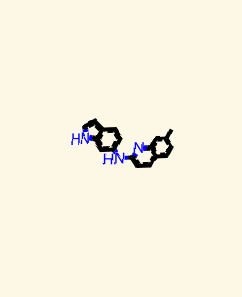 Cc1ccc2ccc(Nc3ccc4cc[nH]c4c3)nc2c1